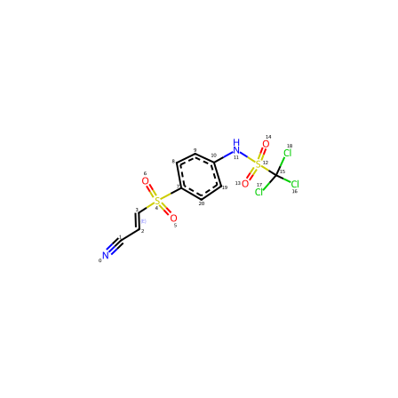 N#C/C=C/S(=O)(=O)c1ccc(NS(=O)(=O)C(Cl)(Cl)Cl)cc1